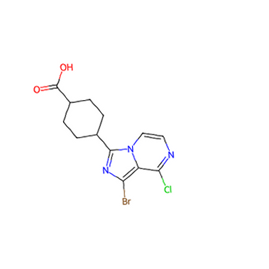 O=C(O)C1CCC(c2nc(Br)c3c(Cl)nccn23)CC1